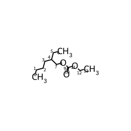 CCCCC(CC)COC(=O)OCC